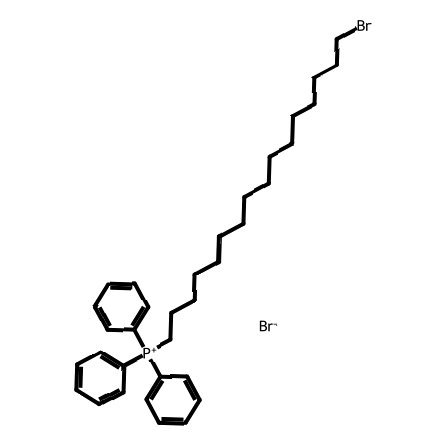 BrCCCCCCCCCCCCCCCC[P+](c1ccccc1)(c1ccccc1)c1ccccc1.[Br-]